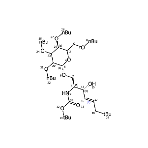 CCCCOCC1O[C@H](OC[C@H](NC(=O)OC(C)(C)C)[C@H](O)/C=C/CC(C)(C)C)C(OCCCC)C(OCCCC)[C@H]1OCCCC